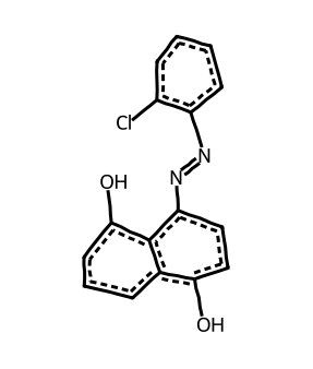 Oc1ccc(/N=N/c2ccccc2Cl)c2c(O)cccc12